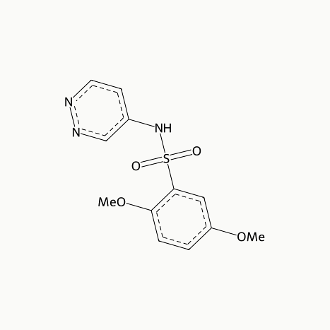 COc1ccc(OC)c(S(=O)(=O)Nc2ccnnc2)c1